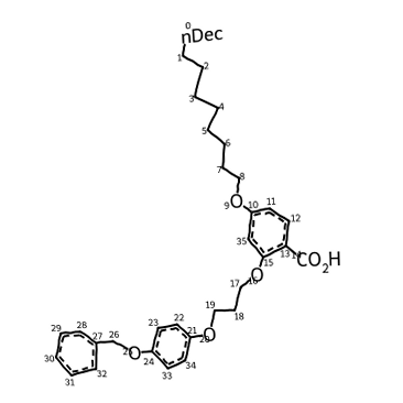 CCCCCCCCCCCCCCCCCCOc1ccc(C(=O)O)c(OCCCOc2ccc(OCc3ccccc3)cc2)c1